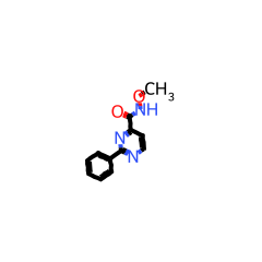 CONC(=O)c1ccnc(-c2ccccc2)n1